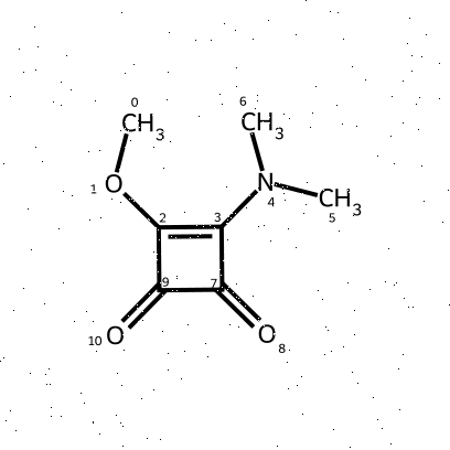 COc1c(N(C)C)c(=O)c1=O